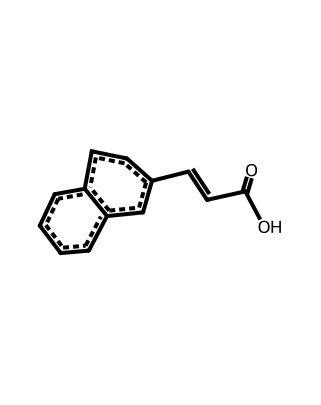 O=C(O)C=Cc1ccc2ccccc2c1